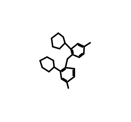 Cc1ccc(Cc2ccc(C)cc2C2CCCCC2)c(C2CCCCC2)c1